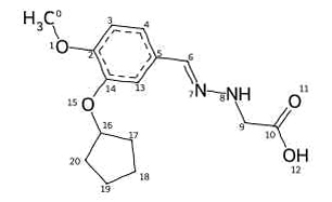 COc1ccc(/C=N/NCC(=O)O)cc1OC1CCCC1